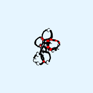 O=C(OCC1CCCCCCCCCCC1)C(=C(C1CCCCCCCCCCC1)C1CCCCCCCCCCC1)C(C1CCCCCCCCCCC1)(C1CCCCCCCCCCC1)C1CCCCCCCCCCC1